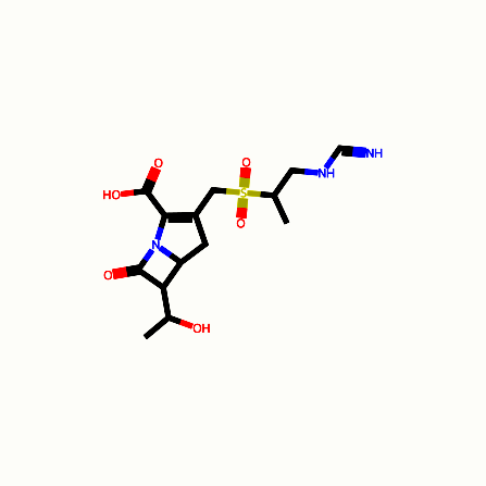 CC(O)C1C(=O)N2C(C(=O)O)=C(CS(=O)(=O)C(C)CNC=N)CC12